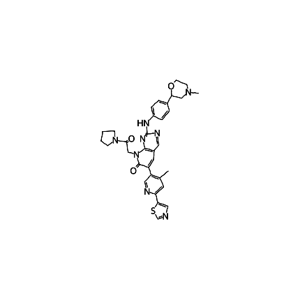 Cc1cc(-c2cncs2)ncc1-c1cc2cnc(Nc3ccc(C4CN(C)CCO4)cc3)nc2n(CC(=O)N2CCCC2)c1=O